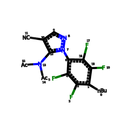 CCCCc1c(F)c(F)c(-n2ncc(C#N)c2N(C(C)=O)C(C)=O)c(F)c1F